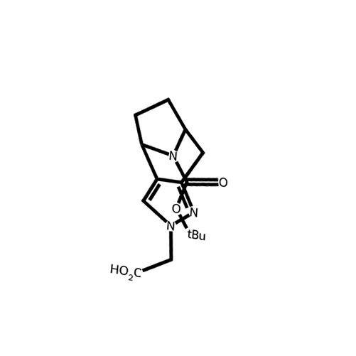 CC(C)(C)OC(=O)N1C2CCC1c1cn(CC(=O)O)nc1C2